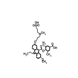 CCC[n+]1c2ccc(OC)cc2c(C(=O)Oc2c(C)cc(C(=O)O)cc2C)c2cc(OCCCN(C)CCCS(=O)(=O)O)ccc21